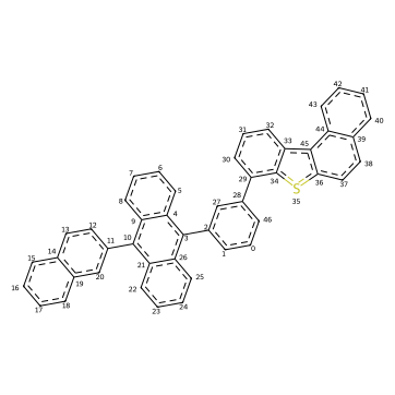 c1cc(-c2c3ccccc3c(-c3ccc4ccccc4c3)c3ccccc23)cc(-c2cccc3c2sc2ccc4ccccc4c23)c1